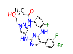 C=CC(=O)Nc1ccc(F)c(Nc2nc(Nc3cnn(CCO)c3)ncc2-c2ccc(Br)c(F)c2)c1